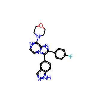 Fc1ccc(-c2nc3c(N4CCOCC4)nccn3c2-c2ccc3[nH]ncc3c2)cc1